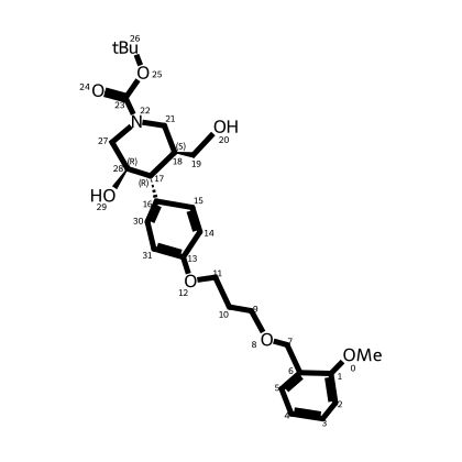 COc1ccccc1COCCCOc1ccc([C@H]2[C@H](CO)CN(C(=O)OC(C)(C)C)C[C@@H]2O)cc1